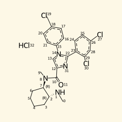 CN[C@@H]1CCCC[C@H]1N(C)C(=O)c1cn(-c2ccc(Cl)cc2)c(-c2ccc(Cl)cc2Cl)n1.Cl